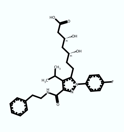 CC(C)c1c(C(=O)NCCc2ccccc2)nn(-c2ccc(F)cc2)c1CC[C@@H](O)C[C@@H](O)CC(=O)O